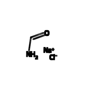 NC=O.[Cl-].[Na+]